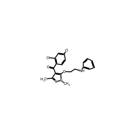 Cc1nn(C)c(OCCNc2ccccc2)c1C(=O)c1ccc(Cl)cc1Cl